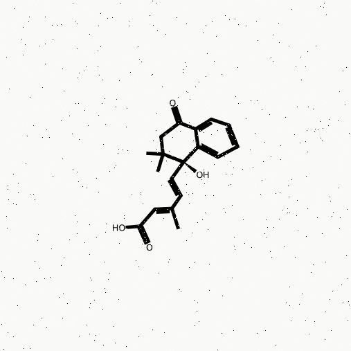 CC(C=C[C@@]1(O)c2ccccc2C(=O)CC1(C)C)=CC(=O)O